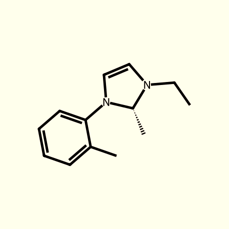 CCN1C=CN(c2ccccc2C)[C@H]1C